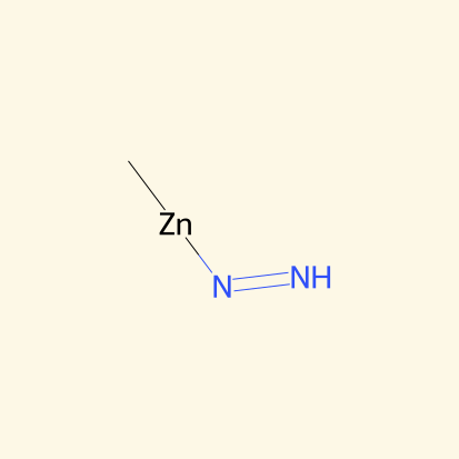 [CH3][Zn][N]=N